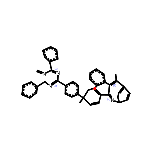 C=N/C(=N\C(=N/Cc1ccccc1)c1ccc(C2(C)C=CC(C3=N/C4C=CC(=CC4)/C(C)=C\3c3ccccc3C)=CC2)cc1)c1ccccc1